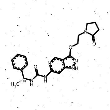 C[C@@H](NC(=O)Nc1cc2[nH]nc(OCCN3CCCC3=O)c2cn1)c1ccccc1